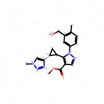 COC(=O)c1cnn(-c2ccc(C)c(CO)c2)c1C1C[C@H]1c1cn(C)nn1